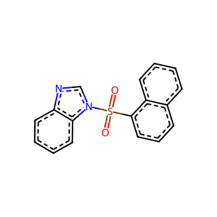 O=S(=O)(c1cccc2ccccc12)n1cnc2ccccc21